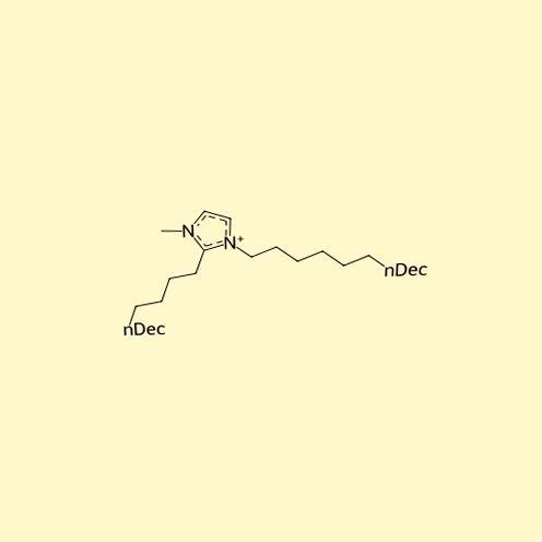 CCCCCCCCCCCCCCCC[n+]1ccn(C)c1CCCCCCCCCCCCCC